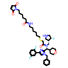 O=C(CCCCCN1C(=O)C=CC1=O)NCCCCCCSCC(=O)N(C[C@@H]1CNC[C@@H]1F)[C@@H](c1nc(-c2cc(F)ccc2F)cn1Cc1ccccc1)C1CCOCC1